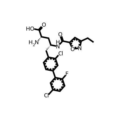 CCc1cc(C(=O)N[C@H](Cc2ccc(-c3cc(Cl)ccc3F)cc2Cl)C[C@H](N)C(=O)O)on1